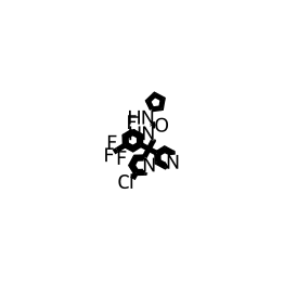 O=C(NCC(c1ccncc1)(c1cc(F)cc(C(F)(F)F)c1)c1ccc(Cl)cn1)NC1CCCC1